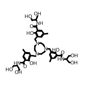 Cc1cc(CN2CCN(Cc3cc(C)cc(C(=O)NC(CO)CO)c3O)CCN(Cc3cc(C)cc(C(=O)NC(CO)CO)c3O)CC2)c(O)c(C(=O)NC(CO)CO)c1